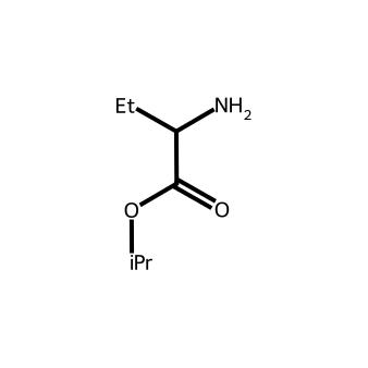 CCC(N)C(=O)OC(C)C